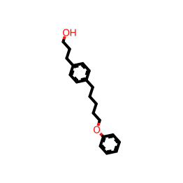 OCCCc1ccc(CCCCCOc2ccccc2)cc1